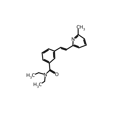 CCN(CC)C(=O)c1cccc(C=Cc2cccc(C)n2)c1